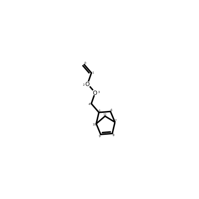 C=COOCC1CC2C=CC1C2